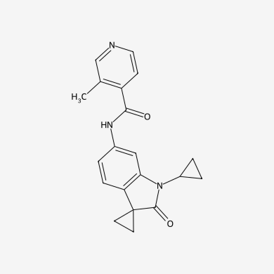 Cc1cnccc1C(=O)Nc1ccc2c(c1)N(C1CC1)C(=O)C21CC1